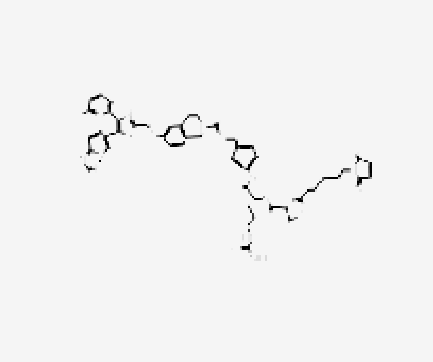 Cc1cccc(-c2nc(CNc3ccc4c(c3)CCN(C(=O)OCc3ccc(NC(=O)[C@H](CCCNC(N)=O)NC(=O)[C@@H](NC(=O)CCCCCN5C(=O)C=CC5=O)C(C)C)cc3)C4)[nH]c2-c2ccc3ncnn3c2)n1